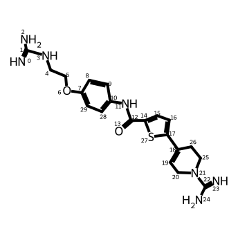 N=C(N)NCCOc1ccc(NC(=O)c2ccc(C3=CCN(C(=N)N)CC3)s2)cc1